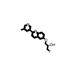 Cc1cncc(-c2ccc3cc(OC[C@H](O)CF)ccc3n2)c1